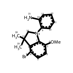 COc1ccc(Br)c2c1N(c1ccccc1N)CC2(C)C